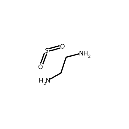 NCCN.O=S=O